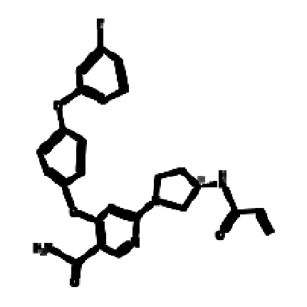 C=CC(=O)N[C@H]1CCN(c2cc(Oc3ccc(Oc4cccc(F)c4)cc3)c(C(N)=O)cn2)C1